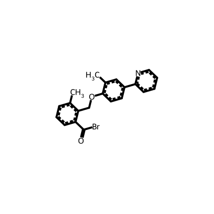 Cc1cc(-c2ccccn2)ccc1OCc1c(C)cccc1C(=O)Br